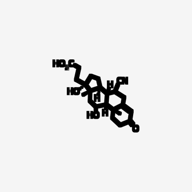 C[C@]12CCC(=O)C=C1CC(C#N)[C@@H]1[C@@H]2C(O)C[C@@]2(C)[C@H]1CC[C@]2(O)CCC(=O)O